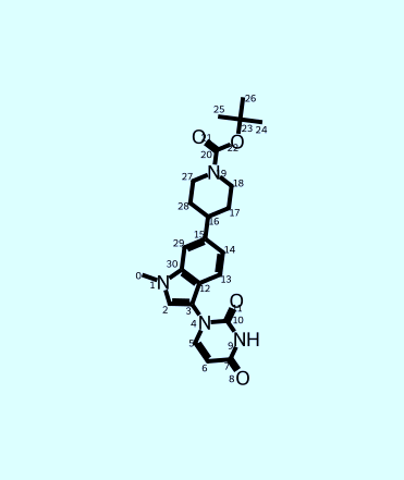 Cn1cc(-n2ccc(=O)[nH]c2=O)c2ccc(C3CCN(C(=O)OC(C)(C)C)CC3)cc21